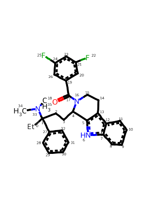 CCC(CCC1c2[nH]c3ccccc3c2CCN1C(=O)c1cc(F)cc(F)c1)(c1ccccc1)N(C)C